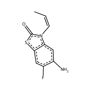 C/C=C\n1c(=O)sc2cc(F)c(N)cc21